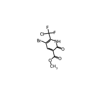 COC(=O)c1cc(Br)c(C(F)(F)Cl)[nH]c1=O